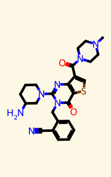 CN1CCN(C(=O)c2csc3c(=O)n(Cc4ccccc4C#N)c(N4CCCC(N)C4)nc23)CC1